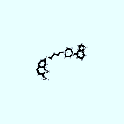 C=C1C=Cc2ccc(OCCCCN3CCN(c4cccc5sccc45)CC3)cc2N1